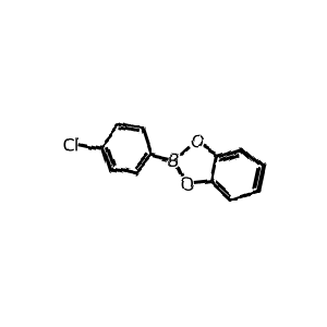 Clc1ccc(B2Oc3ccccc3O2)cc1